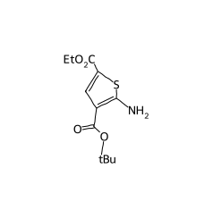 CCOC(=O)c1cc(C(=O)OC(C)(C)C)c(N)s1